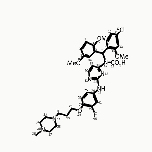 COc1ccc(OC)c(C(c2ccc(Cl)cc2OC)N(C(=O)O)c2ccnc(Nc3ccc(OCCCN4CCN(C)CC4)c(F)c3)n2)c1